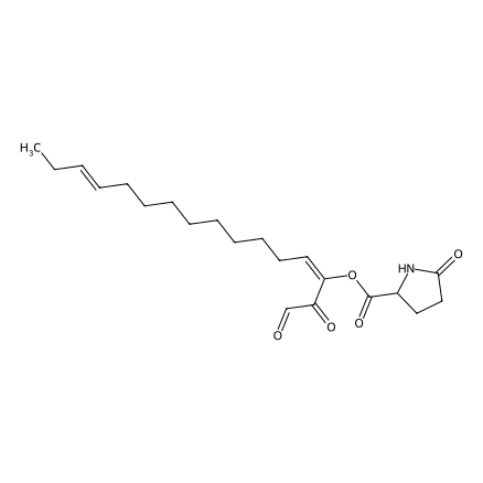 CCC=CCCCCCCCCC=C(OC(=O)C1CCC(=O)N1)C(=O)C=O